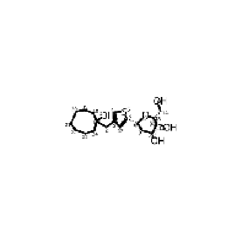 BC1(Cc2csc([C@H]3C[C@@H](O)[C@H](O)[C@@H](CO)O3)c2)CCCCCCC1